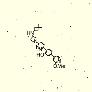 COc1cc(-c2ccc(-c3ccc(N4CCC(NC5CC(C)(C)C5)C4)nn3)c(O)c2)cnn1